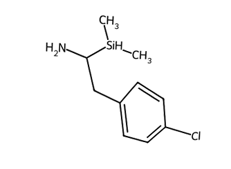 C[SiH](C)C(N)Cc1ccc(Cl)cc1